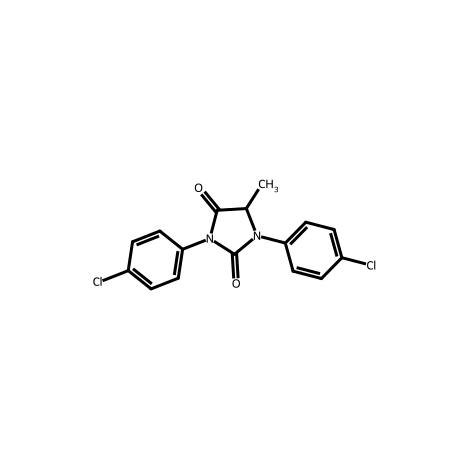 CC1C(=O)N(c2ccc(Cl)cc2)C(=O)N1c1ccc(Cl)cc1